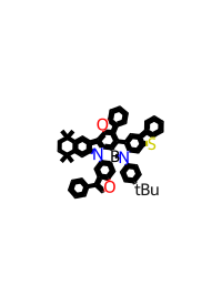 CC(C)(C)c1ccc(N2B3c4cc5occ(-c6ccccc6)c5cc4-n4c5cc6c(cc5c5c7oc8ccccc8c7c(c3c54)-c3cc4c(cc32)sc2ccccc24)C(C)(C)CCC6(C)C)cc1